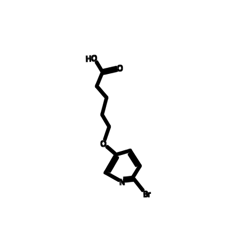 O=C(O)CCCCOc1ccc(Br)nc1